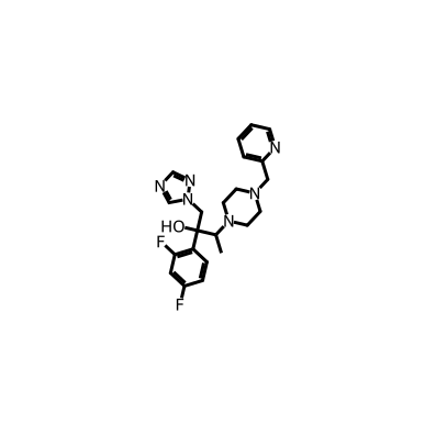 CC(N1CCN(Cc2ccccn2)CC1)C(O)(Cn1cncn1)c1ccc(F)cc1F